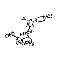 CCCCCC(CN(O)C=O)C(=O)NNc1nc(C2CC2)nc(N2CCN(CC)CC2)n1